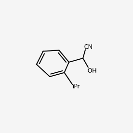 CC(C)c1ccccc1C(O)C#N